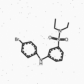 CCN(CC)S(=O)(=O)c1cccc(Nc2ccc(Br)cc2)c1